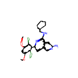 COc1cc(OC)c(Cl)c(-c2cc3cnc(N)cc3c(NCC3CCCC3)n2)c1Cl